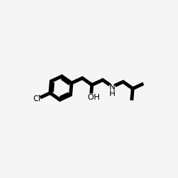 CC(C)CNCC(O)Cc1ccc(Cl)cc1